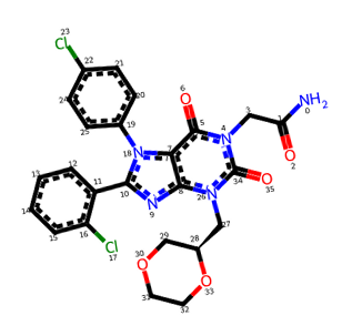 NC(=O)Cn1c(=O)c2c(nc(-c3ccccc3Cl)n2-c2ccc(Cl)cc2)n(C[C@@H]2COCCO2)c1=O